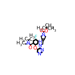 CCN(C(=O)c1cc(F)ccc1Oc1cncnc1NCC1C2CN(C(=O)OC(C)(C)C)CC12)C(C)C